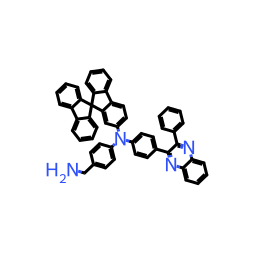 NCc1ccc(N(c2ccc(-c3nc4ccccc4nc3-c3ccccc3)cc2)c2ccc3c(c2)C2(c4ccccc4-c4ccccc42)c2ccccc2-3)cc1